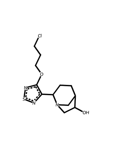 OC1CN2CC1CCC2c1nsnc1OCCCCl